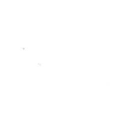 CC(O)CNCC(O)COCCC[Si](O)(O)O